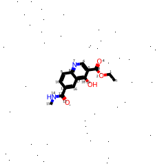 CCOC(=O)c1cnc2ccc(C(=O)NC)cc2c1O